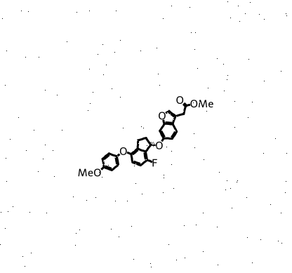 COC(=O)Cc1coc2cc(O[C@@H]3CCc4c(Oc5ccc(OC)cc5)ccc(F)c43)ccc12